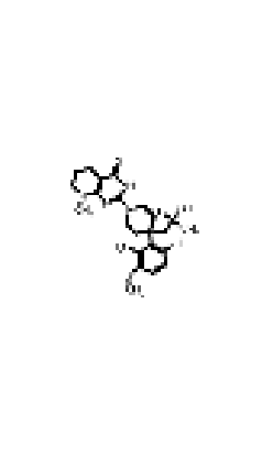 COc1ccc(Cl)c(C2(CC(C)(C)O)CCN(c3nc4c(c(=O)[nH]3)CCCN4C)CC2)c1C